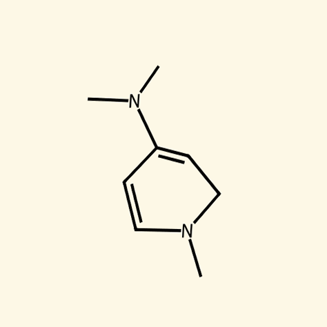 CN1C=CC(N(C)C)=CC1